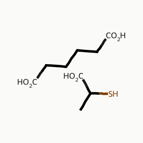 CC(S)C(=O)O.O=C(O)CCCCC(=O)O